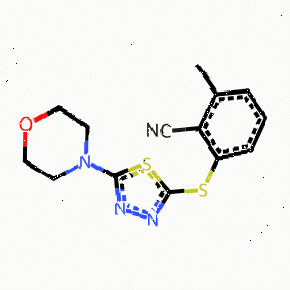 Cc1cccc(Sc2nnc(N3CCOCC3)s2)c1C#N